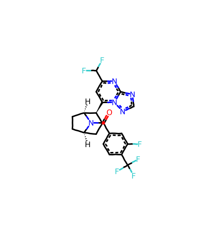 O=C(c1ccc(C(F)(F)F)c(F)c1)N1[C@H]2CC[C@H](c3cc(C(F)F)nc4ncnn34)[C@@H]1CC2